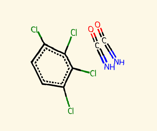 Clc1ccc(Cl)c(Cl)c1Cl.N=C=O.N=C=O